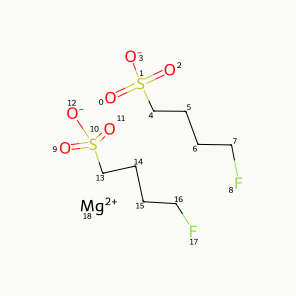 O=S(=O)([O-])CCCCF.O=S(=O)([O-])CCCCF.[Mg+2]